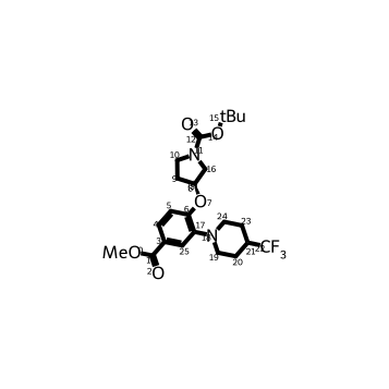 COC(=O)c1ccc(O[C@H]2CCN(C(=O)OC(C)(C)C)C2)c(N2CCC(C(F)(F)F)CC2)c1